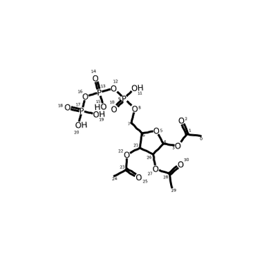 CC(=O)OC1OC(COP(=O)(O)OP(=O)(O)OP(=O)(O)O)C(OC(C)=O)C1OC(C)=O